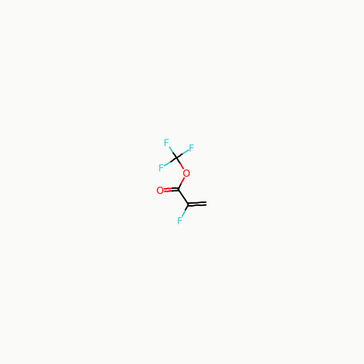 C=C(F)C(=O)OC(F)(F)F